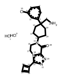 Cl.Cl.NCC1(c2cccc(Cl)c2)CCC(N2CCn3c(nnc3C3=CC=C3)C2=O)CC1